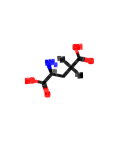 [2H]C([2H])(C[C@H](N)C(=O)O)C(=O)O